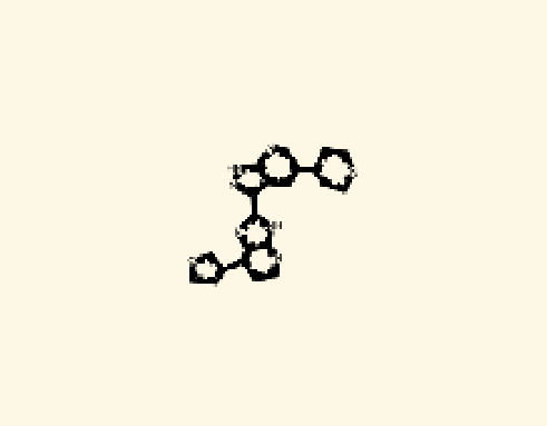 c1cc(-c2cnc3[nH]nc(-c4nc5c(-c6ccoc6)ccnc5[nH]4)c3c2)ccn1